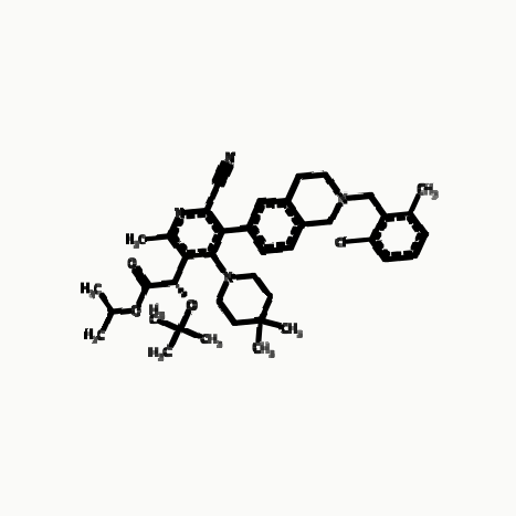 Cc1cccc(Cl)c1CN1CCc2cc(-c3c(C#N)nc(C)c([C@H](OC(C)(C)C)C(=O)OC(C)C)c3N3CCC(C)(C)CC3)ccc2C1